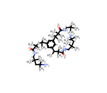 CC(c1cc(C(C)(C)CC(C)(C)C(=O)NCC(C)(C)CC(C)(C)N)cc(C(C)(C)C(C)(C)C(=O)NCC(C)(C)C)c1)C(C)(C)C(=O)NCC(C)(C)CC(C)(C)N